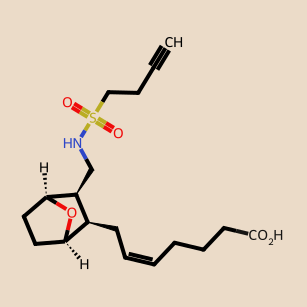 C#CCCS(=O)(=O)NC[C@H]1[C@@H](C/C=C\CCCC(=O)O)[C@H]2CC[C@@H]1O2